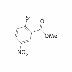 COC(=O)c1cc([N+](=O)[O-])ccc1[S]